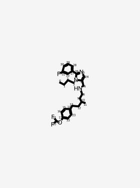 CCCCn1c(CNCCC(C)CCc2ccc(OC(F)F)cc2)cnc1-c1cccc(F)c1